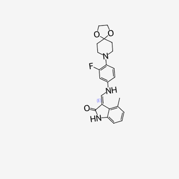 Cc1cccc2c1/C(=C\Nc1ccc(N3CCC4(CC3)OCCO4)c(F)c1)C(=O)N2